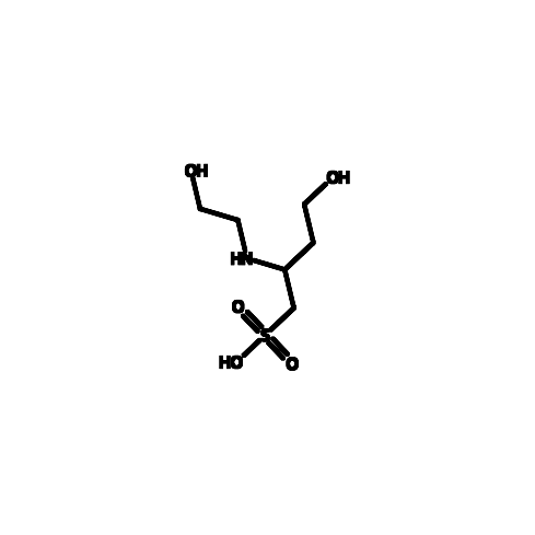 O=S(=O)(O)CC(CCO)NCCO